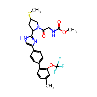 COC(=O)NCC(=O)N1CC(SC)CC1c1nc(-c2ccc(-c3ccc(C)cc3OC(F)(F)F)cc2)c[nH]1